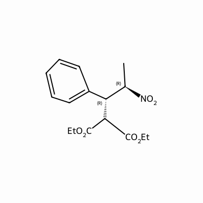 CCOC(=O)C(C(=O)OCC)[C@H](c1ccccc1)[C@@H](C)[N+](=O)[O-]